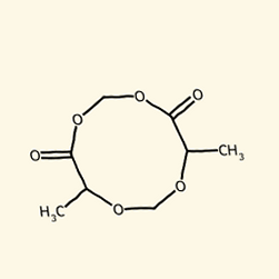 CC1OCOC(C)C(=O)OCOC1=O